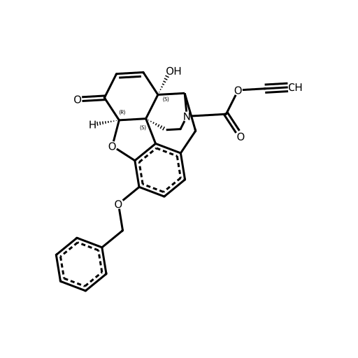 C#COC(=O)N1CC[C@]23c4c5ccc(OCc6ccccc6)c4O[C@H]2C(=O)C=C[C@@]3(O)C1C5